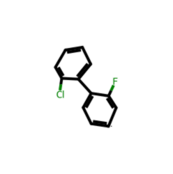 Fc1c[c]ccc1-c1ccccc1Cl